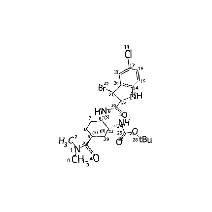 CN(C)C(=O)[C@H]1CC[C@H](NC(=O)C2Nc3ccc(Cl)cc3C2Br)[C@H](NC(=O)OC(C)(C)C)C1